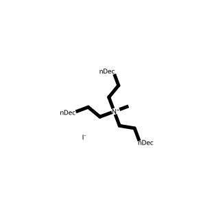 CCCCCCCCCCCC[N+](C)(CCCCCCCCCCCC)CCCCCCCCCCCC.[I-]